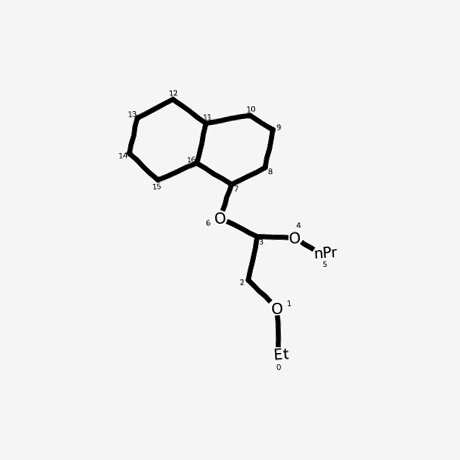 [CH2]COCC(OCCC)OC1CCCC2CCCCC21